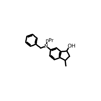 CCCN(Cc1ccccc1)c1ccc2c(c1)C(O)CC2C